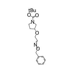 CC(C)(C)OC(=O)N1CCC(OCC=NOCc2ccccc2)C1